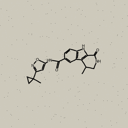 CC1CNC(=O)c2[nH]c3ccc(C(=O)Nc4cc(C5(C)CC5)no4)cc3c21